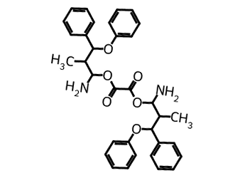 CC(C(N)OC(=O)C(=O)OC(N)C(C)C(Oc1ccccc1)c1ccccc1)C(Oc1ccccc1)c1ccccc1